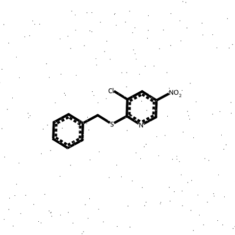 O=[N+]([O-])c1cnc(SCc2ccccc2)c(Cl)c1